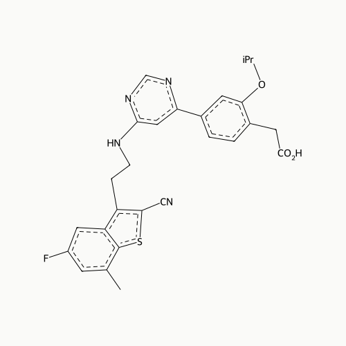 Cc1cc(F)cc2c(CCNc3cc(-c4ccc(CC(=O)O)c(OC(C)C)c4)ncn3)c(C#N)sc12